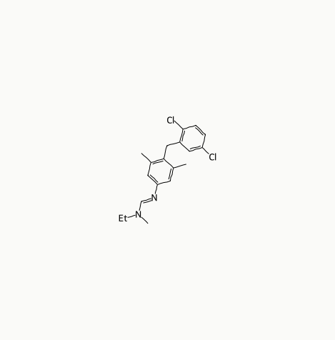 CCN(C)C=Nc1cc(C)c(Cc2cc(Cl)ccc2Cl)c(C)c1